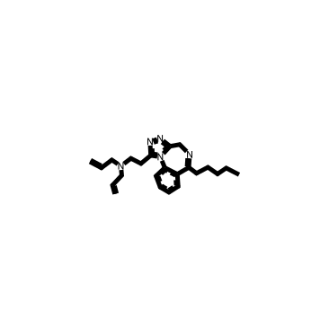 C=CCN(CC=C)CCc1nnc2n1-c1ccccc1C(CCCCC)=NC2